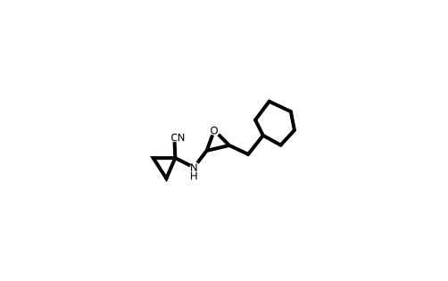 N#CC1(NC2OC2CC2CCCCC2)CC1